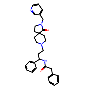 O=C(Cc1ccccc1)NC(CCN1CCC2(CC1)CCN(Cc1cccnc1)C2=O)c1ccccc1